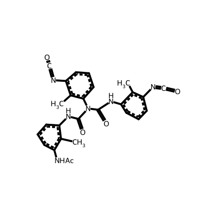 CC(=O)Nc1cccc(NC(=O)N(C(=O)Nc2cccc(N=C=O)c2C)c2cccc(N=C=O)c2C)c1C